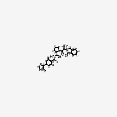 Cc1cc(-c2scnc2C)ccc1[C@H](C)NC(=O)[C@@H]1CCCN1C(=O)C(C(C)C)N1Cc2ccccc2C1=O